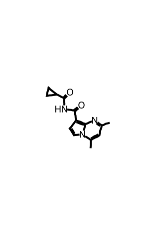 Cc1cc(C)n2ccc(C(=O)NC(=O)C3CC3)c2n1